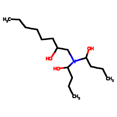 CCCCCCC(O)CN(C(O)CCC)C(O)CCC